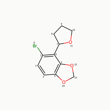 Brc1ccc2c(c1C1CCCO1)OCO2